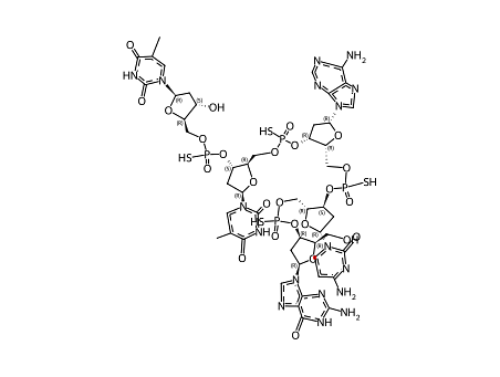 Cc1cn([C@H]2C[C@H](OP(=O)(S)OC[C@H]3O[C@@H](n4cc(C)c(=O)[nH]c4=O)C[C@@H]3O)[C@@H](COP(=O)(S)O[C@@H]3C[C@H](n4cnc5c(N)ncnc54)O[C@@H]3COP(=O)(S)O[C@H]3C[C@H](n4ccc(N)nc4=O)O[C@@H]3COP(=O)(S)O[C@@H]3C[C@H](n4cnc5c(=O)[nH]c(N)nc54)O[C@@H]3CO)O2)c(=O)[nH]c1=O